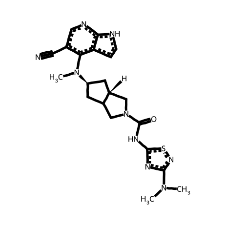 CN(C)c1nsc(NC(=O)N2CC3C[C@@H](N(C)c4c(C#N)cnc5[nH]ccc45)C[C@@H]3C2)n1